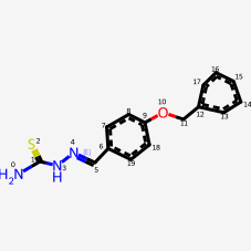 NC(=S)N/N=C/c1ccc(OCc2ccccc2)cc1